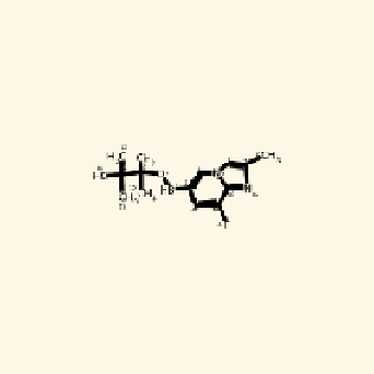 Cc1cn2cc(BOC(C)(C)C(C)(C)O)cc(F)c2n1